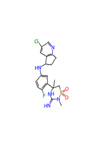 CN1C(=N)NC(C)(c2cc(NC3CCc4ncc(Cl)cc43)ccc2F)CS1(=O)=O